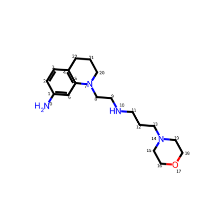 Nc1ccc2c(c1)N(CCNCCCN1CCOCC1)CCC2